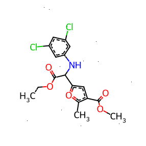 CCOC(=O)C(Nc1cc(Cl)cc(Cl)c1)c1cc(C(=O)OC)c(C)o1